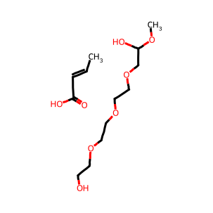 CC=CC(=O)O.COC(O)COCCOCCOCCO